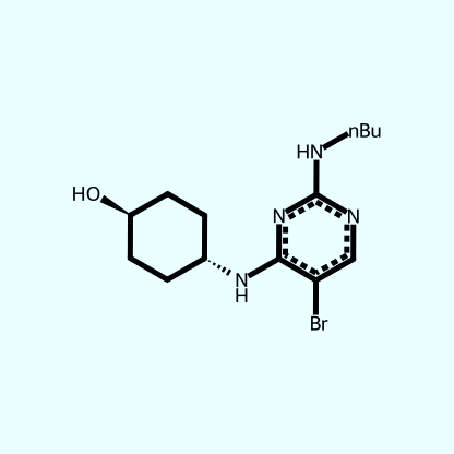 CCCCNc1ncc(Br)c(N[C@H]2CC[C@H](O)CC2)n1